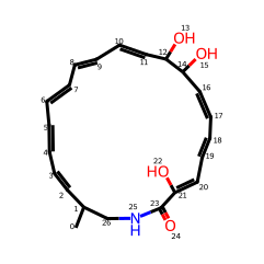 CC1\C=C/C=C/C=C/C=C/C=C\C(O)C(O)\C=C/C=C/C=C(\O)C(=O)NC1